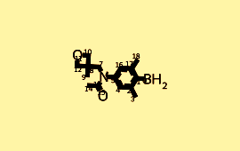 Bc1c(C)cc(N(CC2(C)COC2)C(C)=O)cc1C